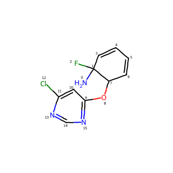 NC1(F)C=CC=CC1Oc1cc(Cl)ncn1